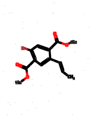 CC=Cc1cc(C(=O)OC(C)(C)C)c(Br)cc1C(=O)OC(C)(C)C